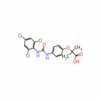 CC(C)(Oc1ccc(NC(=O)Nc2c(Cl)cc(Cl)cc2Cl)cc1)C(=O)O